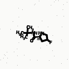 CC(C)(C)NC(=O)[C@@H]1CC(F)CN1